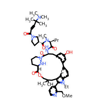 CCn1c(-c2cccnc2COC)c2c3cc(ccc31)-c1cc(O)cc(c1)C[C@H](NC(=O)[C@H](C(C)C)N(C)C(=O)[C@@H]1CCN(C(=O)C#CC(C)(C)N(C)C)C1)C(=O)N1CCC[C@H](N1)C(=O)OCC(C)(C)C2